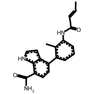 CC=CC(=O)Nc1cccc(-c2ccc(C(N)=O)c3[nH]ccc23)c1C